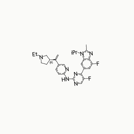 C=C(c1ccc(Nc2ncc(F)c(-c3cc(F)c4nc(C)n(C(C)C)c4c3)n2)nc1)[C@H]1CCN(CC)C1